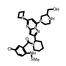 CSNc1ccc(Cl)cc1C(=O)N1CCCCC1c1cc2nc(N3CCC3)cc(N3CCNC(CO)C3)n2n1